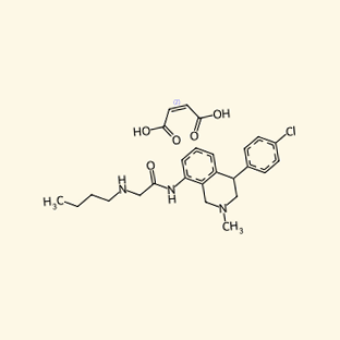 CCCCNCC(=O)Nc1cccc2c1CN(C)CC2c1ccc(Cl)cc1.O=C(O)/C=C\C(=O)O